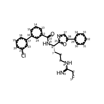 N=C(CF)NCCC[C@H](NC(=O)c1cccc(-c2cccc(Cl)c2)c1)c1ncc(-c2ccccc2)o1